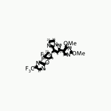 COc1ncc(-c2cc(N3C[C@H](Oc4cnc(C(F)(F)F)cn4)C(F)(F)C3)c3nccn3n2)c(OC)n1